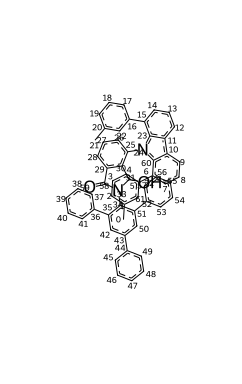 Cc1cccc(-c2cccc3c4cccc(-c5cccc(C)c5)c4n(-c4cccc5c4C(O)N(c4c(-c6ccccc6)cc(-c6ccccc6)cc4-c4ccccc4)C5=O)c23)c1